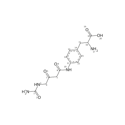 NC(=O)NCC(=O)CC(=O)Nc1ccc(CC(N)C(=O)O)cc1